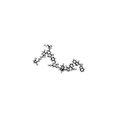 Cc1c(Nc2nc3ccccc3s2)nnc2c1CCCN2c1ccc(-c2cnn(CC34CC5(OCCN(CC(=O)O)C(=O)OCc6ccc(NC(=O)[C@H](CCCNC(N)=O)NC(=O)[C@@H](NC(=O)CCOCCN7C(=O)C=CC7=O)C(C)C)cc6)C[C@](C)(C3)C[C@](C)(C4)C5)c2C)c(C(=O)O)n1